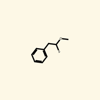 COC([S])Cc1ccccc1